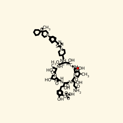 COC1(C2CCCCC2)CCN(c2ccc(-c3nnc(N4CCC(CN[C@H]5C[C@@H](O)CNC(=O)[C@@H]6[C@@H](O)[C@@H](C)CN6C(=O)[C@H]([C@H](O)CC(N)=O)NC(=O)[C@H]([C@H](O)Cc6ccc(O)c(OS(=O)(=O)O)c6)NC(=O)[C@@H]6C[C@@H](O)CN6C(=O)[C@H]([C@@H](C)O)NC5=O)CC4)s3)cc2)CC1